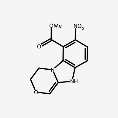 COC(=O)c1c([N+](=O)[O-])ccc2c1N1CCOC=C1N2